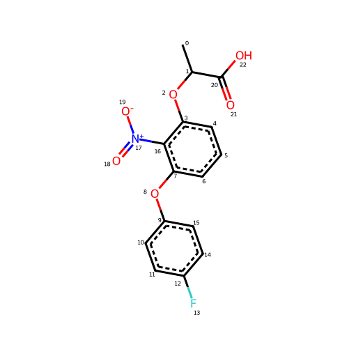 CC(Oc1cccc(Oc2ccc(F)cc2)c1[N+](=O)[O-])C(=O)O